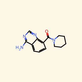 Nc1ncnc2c(C(=O)N3CCCCC3)cccc12